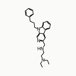 CCN(CC)CCNCc1cc2c3ccccc3n(CCCc3ccccc3)c2cn1